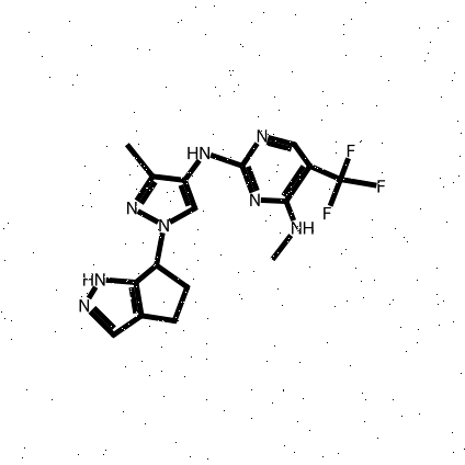 CNc1nc(Nc2cn(C3CCc4cn[nH]c43)nc2C)ncc1C(F)(F)F